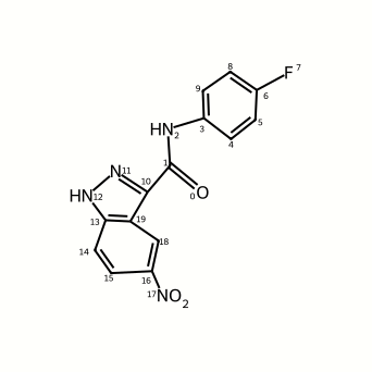 O=C(Nc1ccc(F)cc1)c1n[nH]c2ccc([N+](=O)[O-])cc12